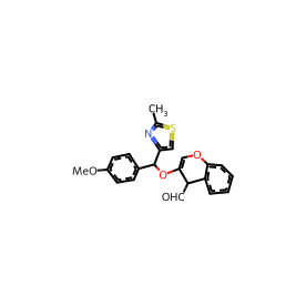 COc1ccc(C(OC2=COc3ccccc3C2C=O)c2csc(C)n2)cc1